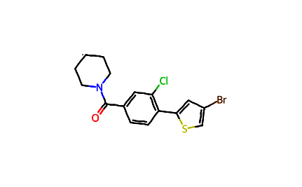 O=C(c1ccc(-c2cc(Br)cs2)c(Cl)c1)N1CC[CH]CC1